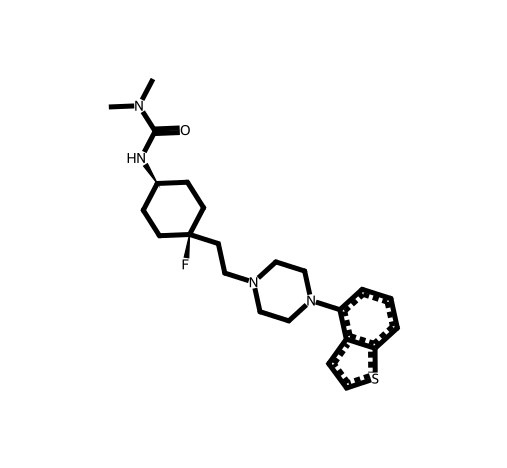 CN(C)C(=O)N[C@H]1CC[C@](F)(CCN2CCN(c3cccc4sccc34)CC2)CC1